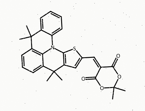 CC1(C)OC(=O)C(=Cc2cc3c(s2)N2c4ccccc4C(C)(C)c4cccc(c42)C3(C)C)C(=O)O1